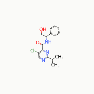 CC(C)c1ncc(Cl)c(C(=O)NC(CO)c2ccccc2)n1